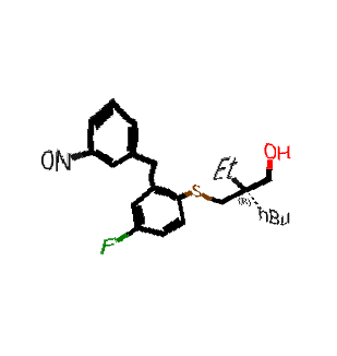 CCCC[C@](CC)(CO)CSc1ccc(F)cc1Cc1cccc(N=O)c1